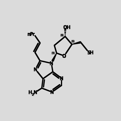 CCCC=Cc1nc2c(N)ncnc2n1[C@H]1C[C@H](O)[C@@H](CS)O1